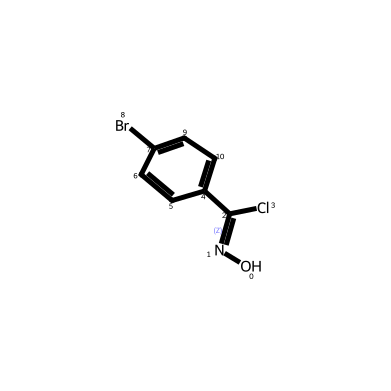 O/N=C(\Cl)c1ccc(Br)cc1